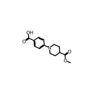 COC(=O)C1CCN(c2ccc(C(=O)O)cc2)CC1